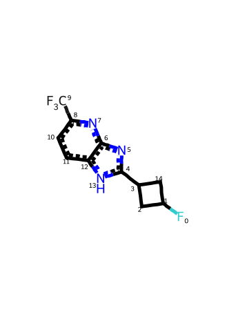 FC1CC(c2nc3nc(C(F)(F)F)ccc3[nH]2)C1